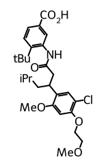 COCCOc1cc(OC)c(C(CC(=O)Nc2cc(C(=O)O)ccc2C(C)(C)C)CC(C)C)cc1Cl